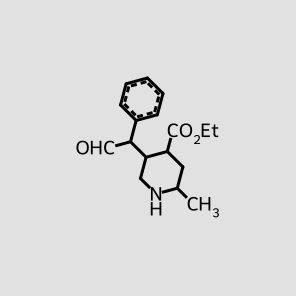 CCOC(=O)C1CC(C)NCC1C(C=O)c1ccccc1